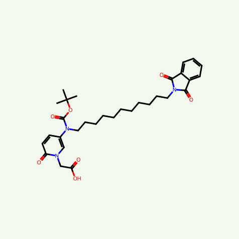 CC(C)(C)OC(=O)N(CCCCCCCCCCCN1C(=O)c2ccccc2C1=O)c1ccc(=O)n(CC(=O)O)c1